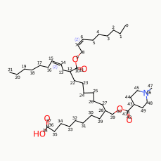 CCCCCC/C=C\COC(=O)C(C/C=C\CCCCCC)CCCCCCC(CCCCCCCC(=O)O)COC(=O)C1CCN(C)CC1